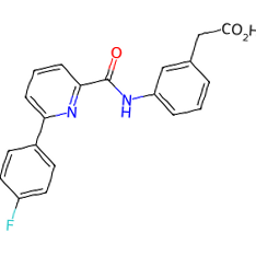 O=C(O)Cc1cccc(NC(=O)c2cccc(-c3ccc(F)cc3)n2)c1